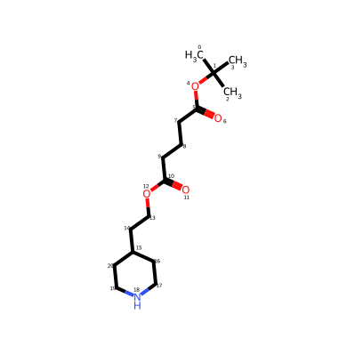 CC(C)(C)OC(=O)CCCC(=O)OCCC1CCNCC1